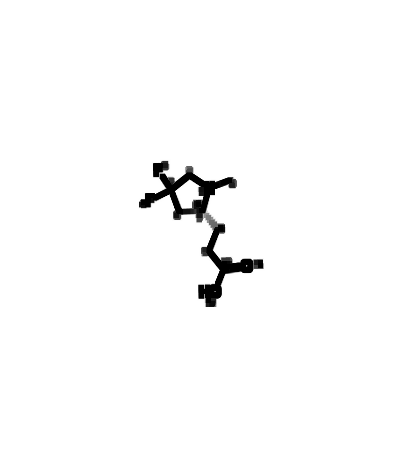 CN1CC(F)(F)C[C@H]1CCC(=O)O